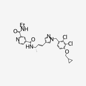 CCNC(=O)c1cc(C(=O)N[C@@H](C)/C=C/c2cnn(Cc3ccc(OCC4CC4)c(Cl)c3Cl)c2)ccn1